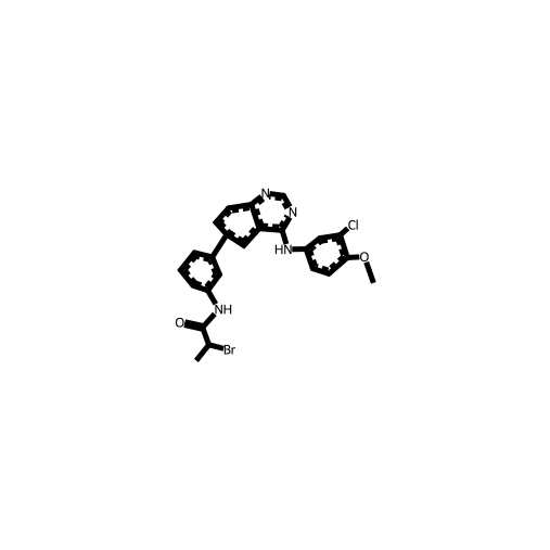 COc1ccc(Nc2ncnc3ccc(-c4cccc(NC(=O)C(C)Br)c4)cc23)cc1Cl